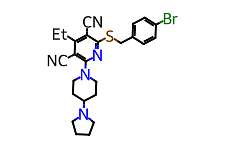 CCc1c(C#N)c(SCc2ccc(Br)cc2)nc(N2CCC(N3CCCC3)CC2)c1C#N